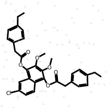 CCc1ccc(CC(=O)Oc2c(OC)c(OC)c(OC(=O)Cc3ccc(CC)cc3)c3cc(Cl)ccc23)cc1